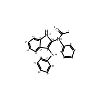 CC(=O)N(c1ccccc1)c1[nH]c2ccccc2c1Sc1ccccc1